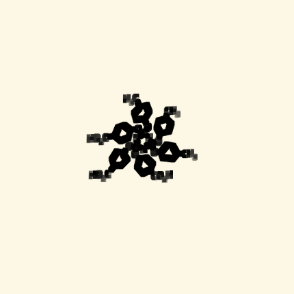 Cc1ccc(OP2(Oc3ccc(C)cc3)=NP(Oc3ccc(C(=O)O)cc3)(Oc3ccc(C(=O)O)cc3)=NP(Oc3ccc(C)cc3)(Oc3ccc(C(=O)O)cc3)=N2)cc1